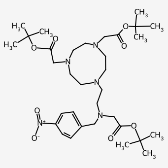 CC(C)(C)OC(=O)CN1CCN(CCN(CC(=O)OC(C)(C)C)Cc2ccc([N+](=O)[O-])cc2)CCN(CC(=O)OC(C)(C)C)CC1